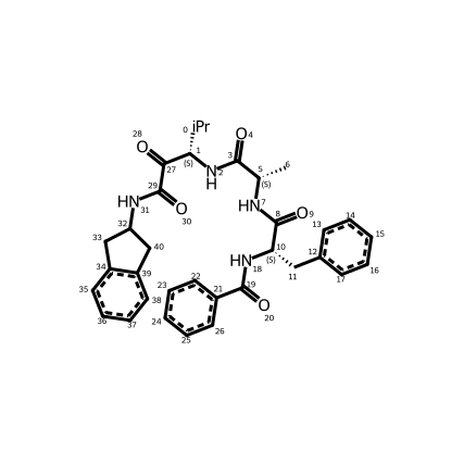 CC(C)[C@H](NC(=O)[C@H](C)NC(=O)[C@H](Cc1ccccc1)NC(=O)c1ccccc1)C(=O)C(=O)NC1Cc2ccccc2C1